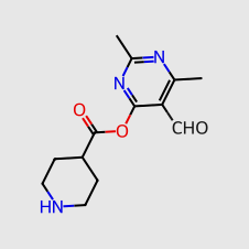 Cc1nc(C)c(C=O)c(OC(=O)C2CCNCC2)n1